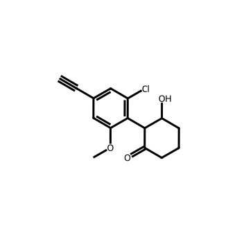 C#Cc1cc(Cl)c(C2C(=O)CCCC2O)c(OC)c1